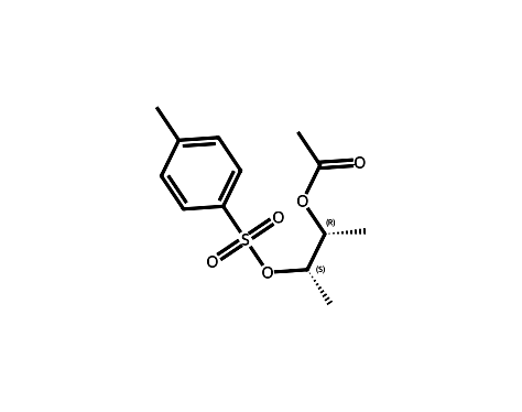 CC(=O)O[C@H](C)[C@H](C)OS(=O)(=O)c1ccc(C)cc1